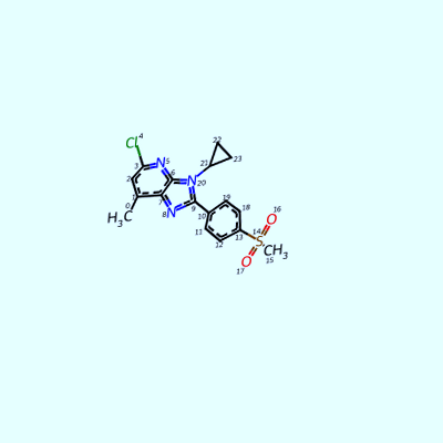 Cc1cc(Cl)nc2c1nc(-c1ccc(S(C)(=O)=O)cc1)n2C1CC1